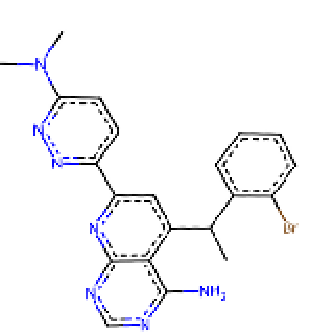 CC(c1ccccc1Br)c1cc(-c2ccc(N(C)C)nn2)nc2ncnc(N)c12